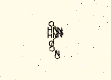 c1ccc(CNc2nsnc2NCCCOc2cccc(CN3CCCCC3)c2)cc1